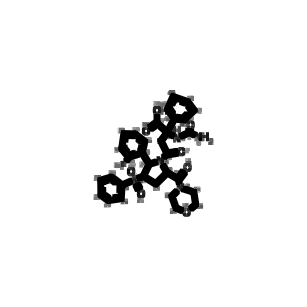 NC(=O)NC(CC(=O)N1C(C(=O)N2CCOCC2)CC(S(=O)(=O)c2ccccc2)C1c1ccccc1F)(C(=O)O)c1ccccc1